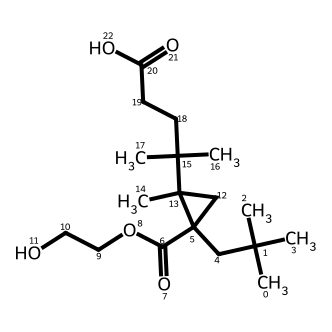 CC(C)(C)CC1(C(=O)OCCO)CC1(C)C(C)(C)CCC(=O)O